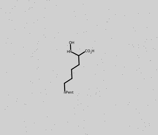 CCCCCCCCCC(NO)C(=O)O